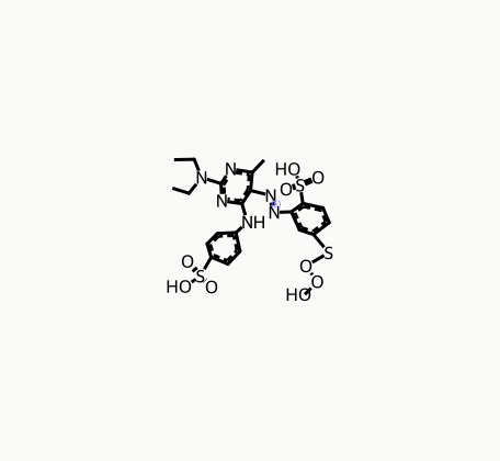 CCN(CC)c1nc(C)c(/N=N/c2cc(SOOO)ccc2S(=O)(=O)O)c(Nc2ccc(S(=O)(=O)O)cc2)n1